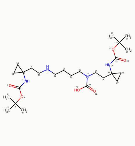 CC(C)(C)OC(=O)NC1(CCNCCCCN(CCC2(NC(=O)OC(C)(C)C)CC2)C(=O)O)CC1